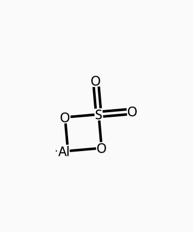 O=S1(=O)[O][Al][O]1